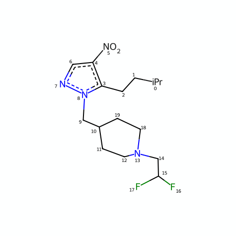 CC(C)CCc1c([N+](=O)[O-])cnn1CC1CCN(CC(F)F)CC1